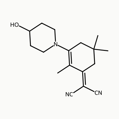 CC1=C(N2CCC(O)CC2)CC(C)(C)CC1=C(C#N)C#N